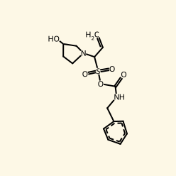 C=CC(N1CCC(O)C1)S(=O)(=O)OC(=O)NCc1ccccc1